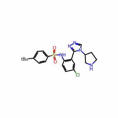 CC(C)(C)c1ccc(S(=O)(=O)Nc2ccc(Cl)cc2-c2nncn2C2CCNC2)cc1